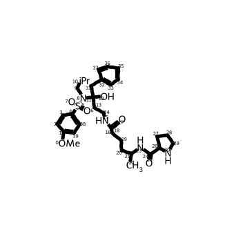 COc1ccc(S(=O)(=O)N(CC(C)C)C(O)(CCNC(=O)CCCC(C)NC(=O)C2CCCN2)Cc2ccccc2)cc1